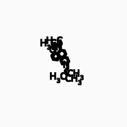 CCN(C(C)=O)[C@H]1CCC2(CCN(CCC(C)(C)C)CC2)c2ccccc21